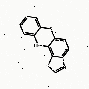 c1ccc2c(c1)Nc1c(ccc3ncoc13)S2